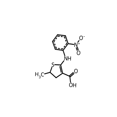 CC1CC(C(=O)O)=C(Nc2ccccc2[N+](=O)[O-])S1